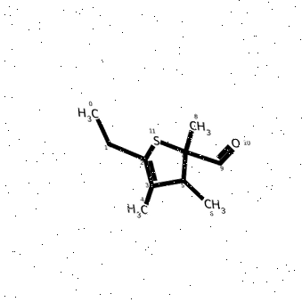 CCC1=C(C)C(C)C(C)(C=O)S1